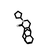 O=C1C2C(CCN1C1CCCC1)C1CC23CC2=CCC1C3C2